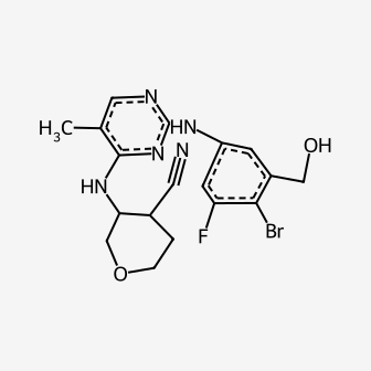 Cc1cnc(Nc2cc(F)c(Br)c(CO)c2)nc1NC1COCCC1C#N